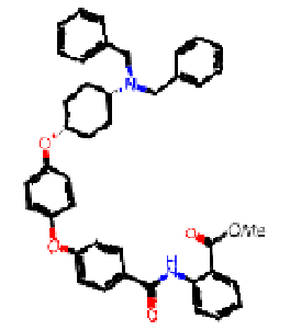 COC(=O)c1ccccc1NC(=O)c1ccc(Oc2ccc(O[C@H]3CC[C@@H](N(Cc4ccccc4)Cc4ccccc4)CC3)cc2)cc1